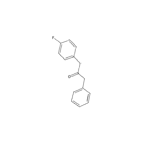 O=C([CH]c1ccc(F)cc1)Cc1ccccc1